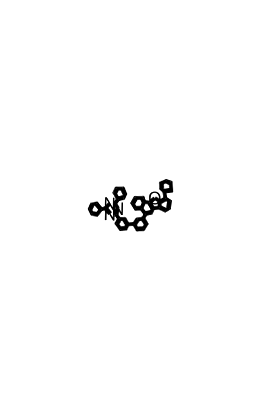 c1ccc(-c2nc(-c3ccccc3)nc(-c3cccc(-c4cccc(-c5cc6c7cccc(-c8ccccc8)c7oc6c6ccccc56)c4)c3)n2)cc1